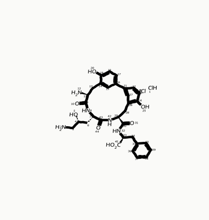 Cl.Cl.NC[C@H](O)C[C@@H]1NC(=O)[C@@H](N)Cc2cc(ccc2O)-c2ccc(O)c(c2)C[C@@H](C(=O)N[C@@H](Cc2ccccc2)C(=O)O)NC1=O